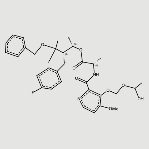 COc1ccnc(C(=O)N[C@@H](C)C(=O)O[C@@H](C)[C@H](Cc2ccc(F)cc2)C(C)(C)OCc2ccccc2)c1OCOC(C)O